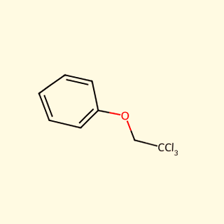 ClC(Cl)(Cl)COc1ccccc1